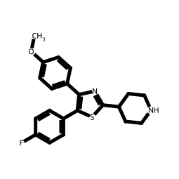 COc1ccc(-c2nc(C3CCNCC3)sc2-c2ccc(F)cc2)cc1